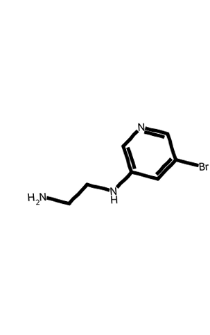 NCCNc1cncc(Br)c1